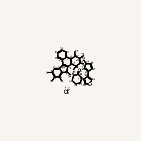 Cc1cc2c(c(C)c1C)C(C)c1c3c(c4ccccc4c1-2)C(C)C(C)C(C)[C]3(C)[Zr+2]([C]1=C(c2ccoc2)C=CC1C)=[C]1CCCCC1.[Cl-].[Cl-]